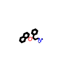 CN(C)CCC(Oc1cccc2ccccc12)c1ccccc1